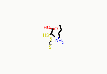 CC(S)C(=O)O.CCCCN.S=C=S